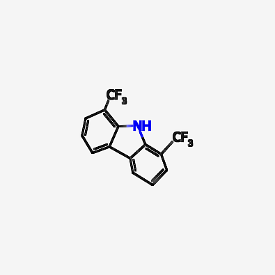 FC(F)(F)c1cccc2c1[nH]c1c(C(F)(F)F)cccc12